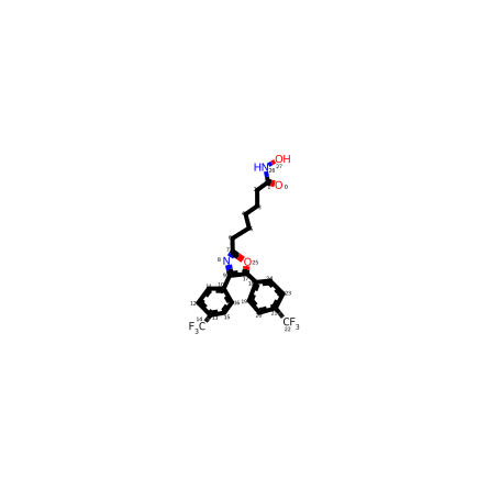 O=C(CCCCCc1nc(-c2ccc(C(F)(F)F)cc2)c(-c2ccc(C(F)(F)F)cc2)o1)NO